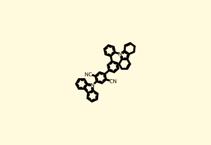 N#Cc1cc(-n2c3ccccc3c3ccccc32)c(C#N)cc1-c1cccc(-c2ccccc2-n2c3c(c4c2CCC=C4)CCC=C3)c1